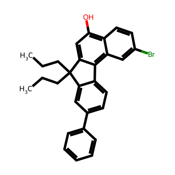 CCCC1(CCC)c2cc(-c3ccccc3)ccc2-c2c1cc(O)c1ccc(Br)cc21